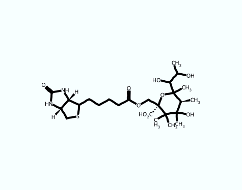 CC(O)C(O)C1(C)O[C@@](COC(=O)CCCCC2SC[C@@H]3NC(=O)N[C@H]23)(C(=O)O)C(C)(C)C(C)(O)[C@@H]1C